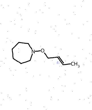 C/C=C/CON1CCCCCC1